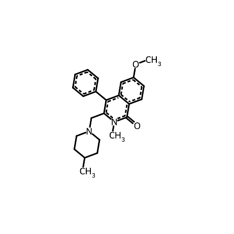 COc1ccc2c(=O)n(C)c(CN3CCC(C)CC3)c(-c3ccccc3)c2c1